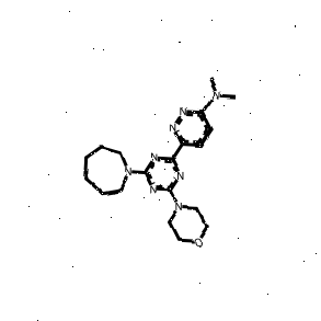 CN(C)c1ccc(-c2nc(N3CCCCCC3)nc(N3CCOCC3)n2)nn1